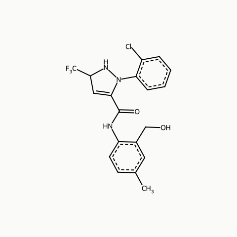 Cc1ccc(NC(=O)C2=CC(C(F)(F)F)NN2c2ccccc2Cl)c(CO)c1